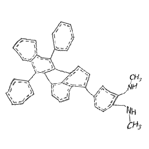 CNc1ccc(-c2ccc3c4c(cccc24)-c2c-3c(-c3ccccc3)c3ccccc3c2-c2ccccc2)cc1NC